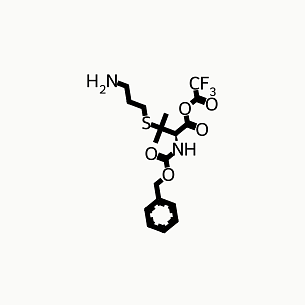 CC(C)(SCCCN)[C@@H](NC(=O)OCc1ccccc1)C(=O)OC(=O)C(F)(F)F